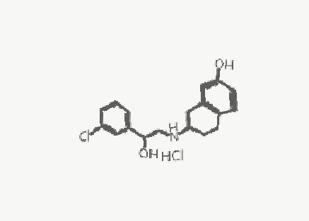 Cl.Oc1ccc2c(c1)CC(NCC(O)c1cccc(Cl)c1)CC2